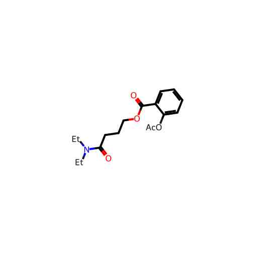 CCN(CC)C(=O)CCCOC(=O)c1ccccc1OC(C)=O